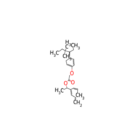 C=C/C=C(\C=C/C)C(C)OC(=O)COC1=CC[C@@H](C(CC)C(C)(C)CC)C=C1